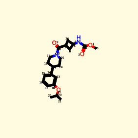 COC(=O)NC1CC(C(=O)N2CCC(c3cccc(OC(C)C)c3)CC2)C1